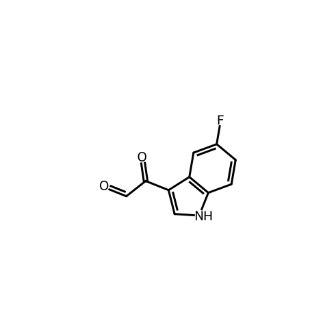 O=CC(=O)c1c[nH]c2ccc(F)cc12